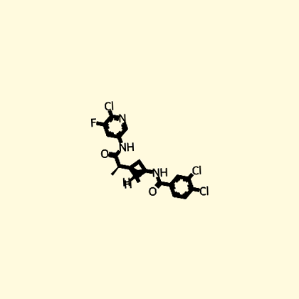 C[C@@H](C(=O)Nc1cnc(Cl)c(F)c1)C12CC(NC(=O)c3ccc(Cl)c(Cl)c3)([C@@H]1C)[C@@H]2C